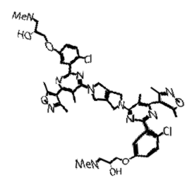 CNC[C@@H](O)COc1ccc(Cl)c(-c2nc(-c3c(C)noc3C)c(C)c(N3CC4=C(C3)CN(c3nc(-c5cc(OC[C@H](O)CNC)ccc5Cl)nc(-c5c(C)noc5C)c3C)C4)n2)c1